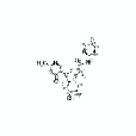 Cc1ncc(OC[C@@]2(C3C=CC(O)=C(F)C3)C[C@H]2C(=O)Nc2ccc(F)cn2)c(C)n1